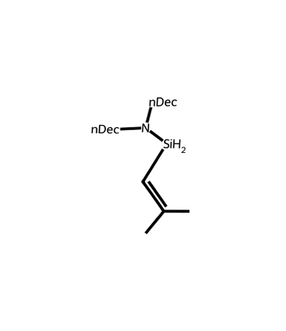 CCCCCCCCCCN(CCCCCCCCCC)[SiH2]C=C(C)C